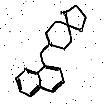 c1cnc2c(CN3CCC4(CC3)NCCO4)cccc2c1